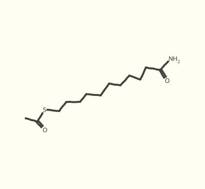 CC(=O)SCCCCCCCCCCC(N)=O